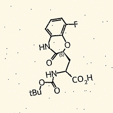 CC(C)(C)OC(=O)NC(C[C@@H]1Oc2c(F)cccc2NC1=O)C(=O)O